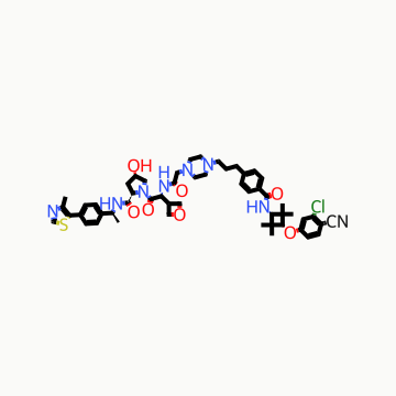 Cc1ncsc1-c1ccc([C@H](C)NC(=O)[C@@H]2C[C@@H](O)CN2C(=O)[C@H](NC(=O)CN2CCN(CCCc3ccc(C(=O)N[C@H]4C(C)(C)[C@H](Oc5ccc(C#N)c(Cl)c5)C4(C)C)cc3)CC2)C2COC2)cc1